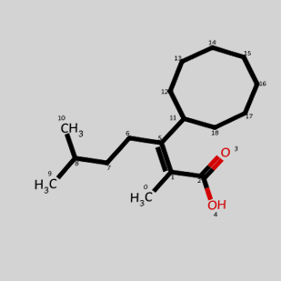 CC(C(=O)O)=C(CCC(C)C)C1CCCCCCC1